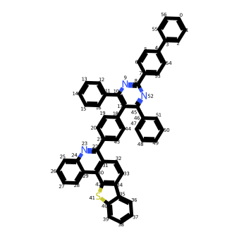 c1ccc(-c2ccc(-c3nc(-c4ccccc4)c(-c4ccc(-c5nc6ccccc6c6c5ccc5c7ccccc7sc56)cc4)c(-c4ccccc4)n3)cc2)cc1